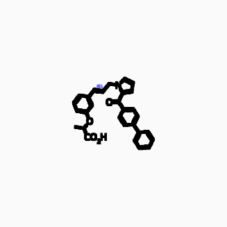 CC(Oc1cccc(/C=C/Cn2cccc2C(=O)c2ccc(-c3ccccc3)cc2)c1)C(=O)O